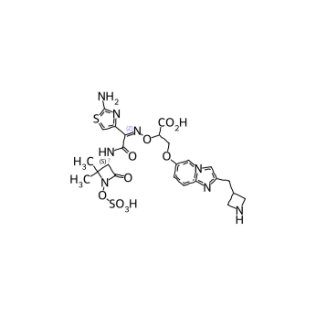 CC1(C)[C@H](NC(=O)/C(=N\OC(COc2ccc3nc(CC4CNC4)cn3c2)C(=O)O)c2csc(N)n2)C(=O)N1OS(=O)(=O)O